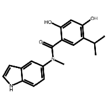 CC(C)c1cc(C(=O)N(C)c2ccc3[nH]ccc3c2)c(O)cc1O